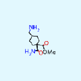 COC(=O)C1(C(N)=O)CCC(CN)CC1